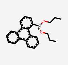 CCCO[SiH](OCCC)c1cccc2c3ccccc3c3ccccc3c12